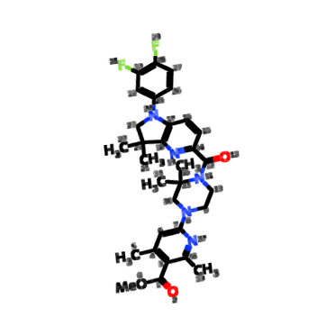 COC(=O)c1c(C)cc(N2CCN(C(=O)c3ccc4c(n3)C(C)(C)CN4c3ccc(F)c(F)c3)C(C)(C)C2)nc1C